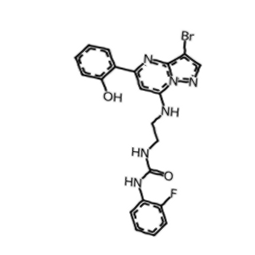 O=C(NCCNc1cc(-c2ccccc2O)nc2c(Br)cnn12)Nc1ccccc1F